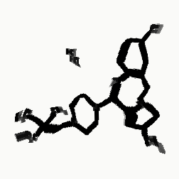 Cc1cc2n(c1)Cc1cc(Cl)ccc1N=C2N1CCN(CC(C)(C)C(=O)O)CC1.Cl.Cl